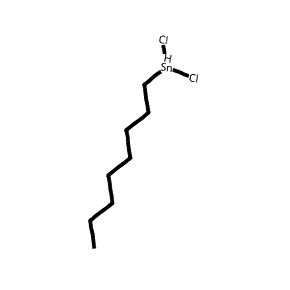 CCCCCCC[CH2][SnH]([Cl])[Cl]